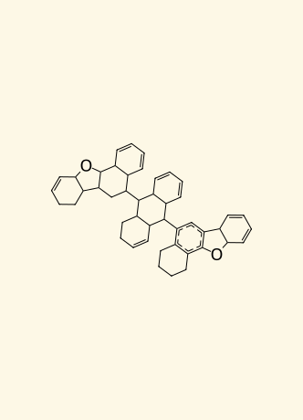 C1=CC2Oc3c(cc(C4C5C=CC=CC5C(C5CC6C7CCC=CC7OC6C6C=CC=CC65)C5CCC=CC54)c4c3CCCC4)C2C=C1